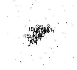 C=CCNC(=O)C(=O)C(CCCC)NC(=O)[C@@H]1[C@@H]2[C@H](CN1C(=O)[C@@H](NC(=O)N(C)[C@H](CN1C(=O)CNC1=O)C(C)(C)C)C(C)(C)C)C2(C)C